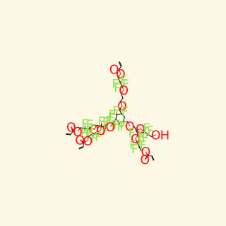 C=CC(=O)OCC(F)(F)C(F)(F)OCCCOCC1(F)CC(F)(COCC(F)(COC(F)(F)C(F)(F)COC(=O)C=C)OC(F)(F)C(F)(F)CO)C(F)(F)C(F)(C(F)(F)OC(F)(F)C(F)(COC(F)(F)C(F)(F)COC(=O)C=C)OC(F)(F)C(F)(F)COC(=O)C=C)C1(F)F